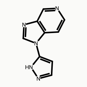 c1cc2c(cn1)ncn2-c1ccn[nH]1